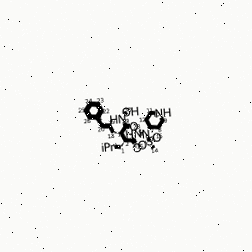 CC(C)C[C@@H](C(=O)NN(C1CCNCC1)S(C)(=O)=O)[C@H](CC=Cc1ccccc1)C(=O)NO